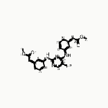 COC(=O)C=C1C=C(Nc2ncc(F)c(NC3=CC(=CC(=O)OC)CC=C3)n2)C=CC1